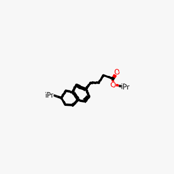 CC(C)OC(=O)CCCc1ccc2c(c1)CC(C(C)C)CC2